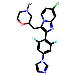 CC(=O)N1CCOC(Cc2c(-c3c(F)cc(-n4ccnc4)cc3F)nc3cc(Cl)ccn23)C1